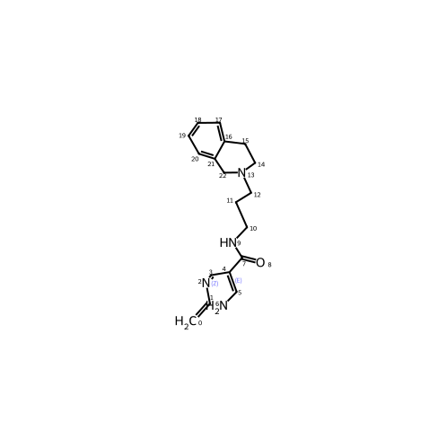 C=C/N=C\C(=C/N)C(=O)NCCCN1CCc2ccccc2C1